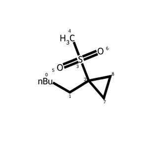 CCCCCC1(S(C)(=O)=O)CC1